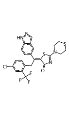 O=C1N=C(N2CCSCC2)SC1=C(Cc1ccc(Cl)cc1C(F)(F)F)c1ccc2[nH]ncc2c1